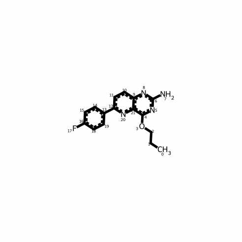 CCCOc1nc(N)nc2ccc(-c3ccc(F)cc3)nc12